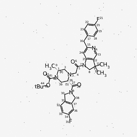 C[C@@H]1CN(CC(=O)N2CC(C)(C)c3cnc(Cc4ccc(F)cc4)cc32)[C@H](C(=O)N2Cc3ccc(F)cc3C2)CN1C(=O)OC(C)(C)C